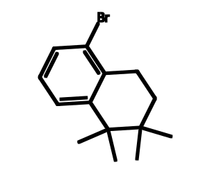 CC1(C)CCc2c(Br)cccc2C1(C)C